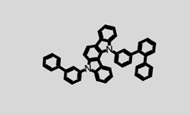 c1ccc(-c2cccc(-n3c4ccccc4c4c3ccc3c5ccccc5n(-c5cccc(-c6ccccc6-c6ccccc6)c5)c34)c2)cc1